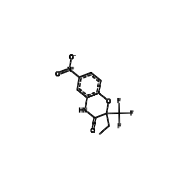 CCC1(C(F)(F)F)Oc2ccc([N+](=O)[O-])cc2NC1=O